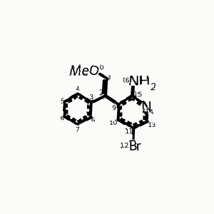 CO/C=C(\c1ccccc1)c1cc(Br)cnc1N